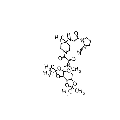 CN(CC12OCC3OC(C)(C)OC3C1OC(C)(C)O2)C(=O)C(=O)N1CCC(C)(NCC(=O)N2CCC[C@H]2C#N)CC1